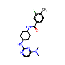 CN(C)c1ccnc(NC2CCC(NC(=O)c3ccc(C(F)(F)F)c(F)c3)CC2)n1